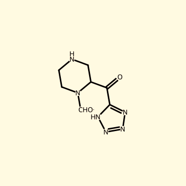 O=[C]N1CCNCC1C(=O)c1nnn[nH]1